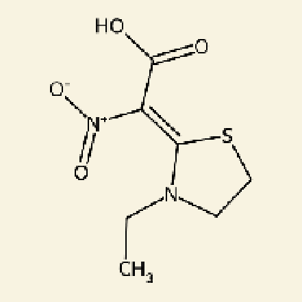 CCN1CCSC1=C(C(=O)O)[N+](=O)[O-]